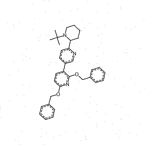 CC(C)(C)N1CC[CH]CC1c1ccc(-c2ccc(OCc3ccccc3)nc2OCc2ccccc2)cn1